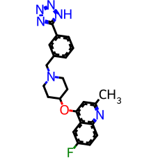 Cc1cc(OC2CCN(Cc3cccc(-c4nnn[nH]4)c3)CC2)c2cc(F)ccc2n1